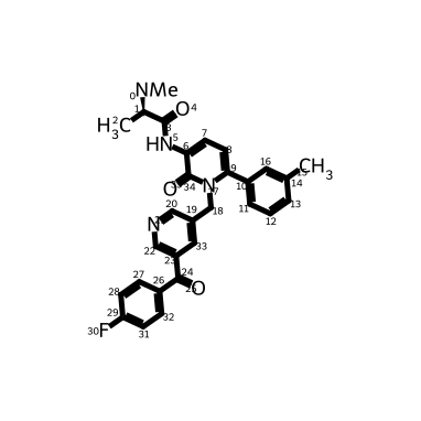 CN[C@H](C)C(=O)Nc1ccc(-c2cccc(C)c2)n(Cc2cncc(C(=O)c3ccc(F)cc3)c2)c1=O